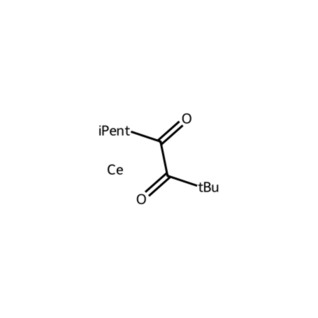 CCCC(C)C(=O)C(=O)C(C)(C)C.[Ce]